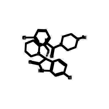 CC(=O)N1CCN(C(=O)NC2CCCCN2[C@]2(Cc3cccc(Cl)c3)C(=O)Nc3cc(Cl)ccc32)CC1